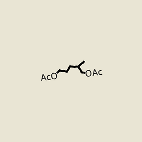 CC(=O)OCCCC(C)COC(C)=O